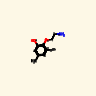 Cc1cc(O)c(OCCN)c(C(C)C)c1